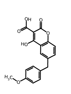 COc1ccc(Cc2ccc3oc(=O)c(C(=O)O)c(O)c3c2)cc1